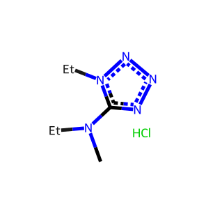 CCN(C)c1nnnn1CC.Cl